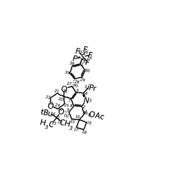 CC(=O)O[C@H]1c2nc(C(C)C)c3c(c2[C@@H](OC(C)(C)C(C)(C)C)CC12CCC2)C1(CCOCC1)O[C@@H]3c1ccc(S(F)(F)(F)(F)F)cc1